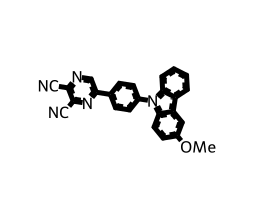 COc1ccc2c(c1)c1ccccc1n2-c1ccc(-c2cnc(C#N)c(C#N)n2)cc1